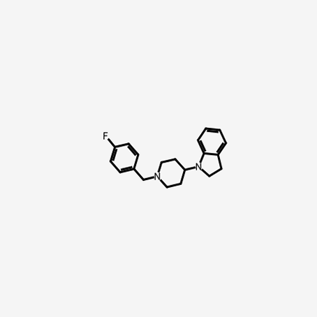 Fc1ccc(CN2CCC(N3CCc4ccccc43)CC2)cc1